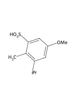 COc1cc(C(C)C)c(C)c(S(=O)(=O)O)c1